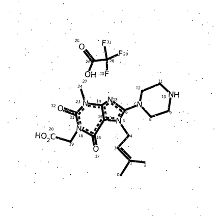 CC(C)=CCn1c(N2CCNCC2)nc2c1c(=O)n(CC(=O)O)c(=O)n2C.O=C(O)C(F)(F)F